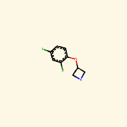 Fc1ccc(OC2C[N]C2)c(F)c1